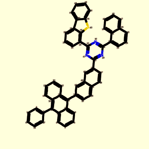 c1ccc(-c2c3ccccc3c(-c3ccc4ccc(-c5nc(-c6cccc7ccccc67)nc(-c6cccc7c6sc6ccccc67)n5)cc4c3)c3ccccc23)cc1